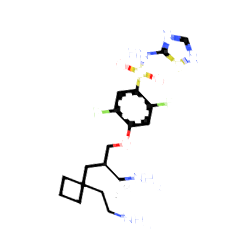 C[C@@H](N)C(COc1cc(F)c(S(=O)(=O)Nc2ncns2)cc1F)CC1(CCN)CCC1